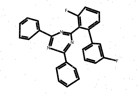 Fc1cccc(-c2cccc(F)c2-c2nc(-c3ccccc3)nc(-c3ccccc3)n2)c1